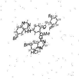 COc1cc(Nc2ncnc3ccc(Br)cc23)ccc1OCc1c(F)cccc1F.Cl.Clc1ncnc2ccc(Br)cc12